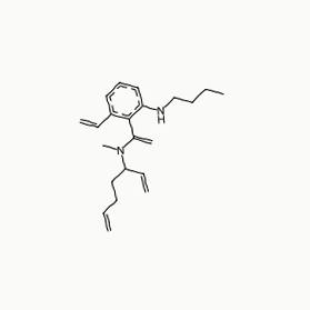 C=CCCC(C=C)N(C)C(=C)c1c(C=C)cccc1NCCCC